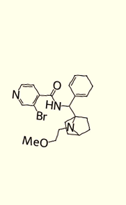 COCCN1C2CCC1(C(NC(=O)c1ccncc1Br)C1=CCCC=C1)CC2